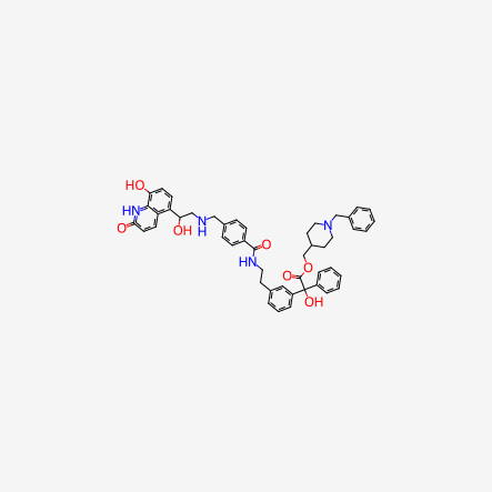 O=C(NCCc1cccc(C(O)(C(=O)OCC2CCN(Cc3ccccc3)CC2)c2ccccc2)c1)c1ccc(CNCC(O)c2ccc(O)c3[nH]c(=O)ccc23)cc1